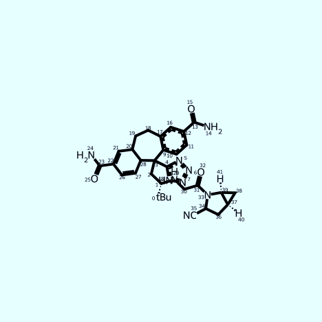 CC(C)(C)[C@H](CC1(c2nnn[nH]2)c2ccc(C(N)=O)cc2CCC2C=C(C(N)=O)C=CC21)NCC(=O)N1C(C#N)C[C@@H]2C[C@@H]21